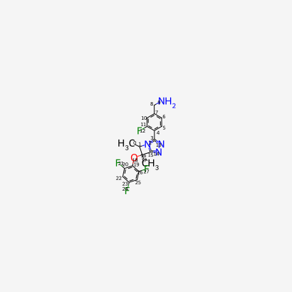 CC1n2c(-c3ccc(CN)cc3F)nnc2C1(C)Oc1c(F)cc(F)cc1F